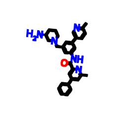 Cc1ccc(-c2cc(CN3CCC[C@H](N)C3)cc(NC(=O)c3cc(-c4ccccc4)cc(C)n3)c2)cn1